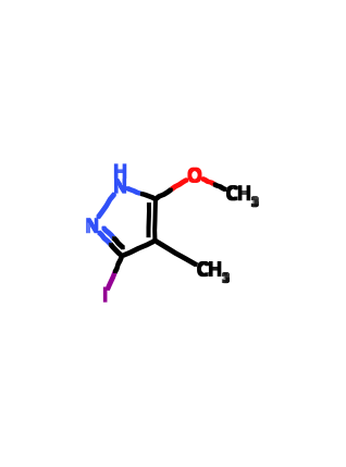 COc1[nH]nc(I)c1C